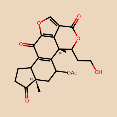 CC(=O)OC1C[C@]2(C)C(=O)CCC2C2=C1[C@]1(C)c3c(coc3C2=O)C(=O)OC1CCO